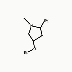 CCOC1CC(C(C)C)N(C)C1